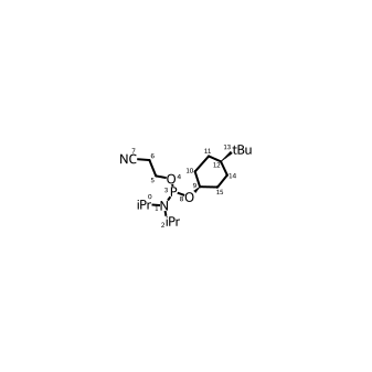 CC(C)N(C(C)C)P(OCCC#N)O[C@H]1CC[C@@H](C(C)(C)C)CC1